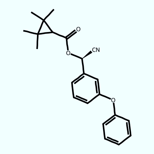 CC1(C)C(C(=O)O[C@@H](C#N)c2cccc(Oc3ccccc3)c2)C1(C)C